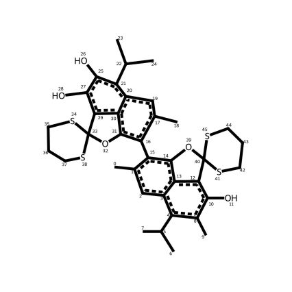 Cc1cc2c(C(C)C)c(C)c(O)c3c2c(c1-c1c(C)cc2c(C(C)C)c(O)c(O)c4c2c1OC41SCCCS1)OC31SCCCS1